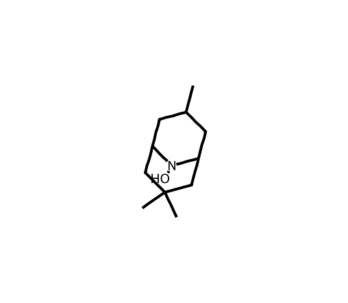 CC1CC2CC(C)(C)CC(C1)N2O